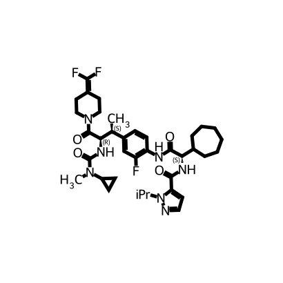 CC(C)n1nccc1C(=O)N[C@H](C(=O)Nc1ccc([C@H](C)[C@@H](NC(=O)N(C)C2CC2)C(=O)N2CCC(=C(F)F)CC2)cc1F)C1CCCCCC1